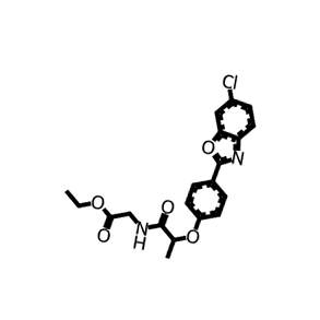 CCOC(=O)CNC(=O)C(C)Oc1ccc(-c2nc3ccc(Cl)cc3o2)cc1